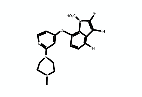 [2H]c1ccc(Oc2ccnc(N3CCN(C)CC3)c2)c2c1c([2H])c([2H])n2C(=O)O